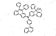 CC1(c2ccccc2)c2ccccc2-c2cc(N(c3ccc(-c4cccc5ccccc45)cc3)c3ccc4c(c3)c(-c3ccccc3)c(-c3ccccc3)c3ccccc34)ccc21